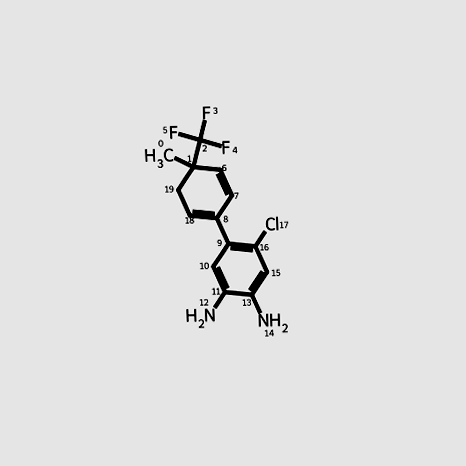 CC1(C(F)(F)F)C=CC(c2cc(N)c(N)cc2Cl)=CC1